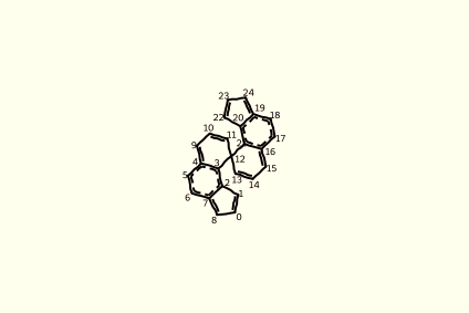 C1=Cc2c3c(ccc2=C1)=CC=CC31C=CC=c2ccc3c(c21)C=CC=3